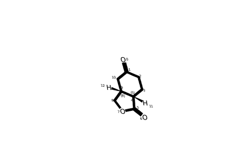 O=C1CC[C@@H]2C(=O)OC[C@@H]2C1